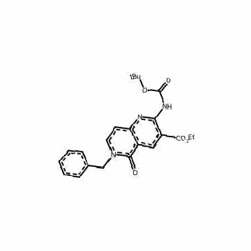 CCOC(=O)c1cc2c(=O)n(Cc3ccccc3)ccc2nc1NC(=O)OC(C)(C)C